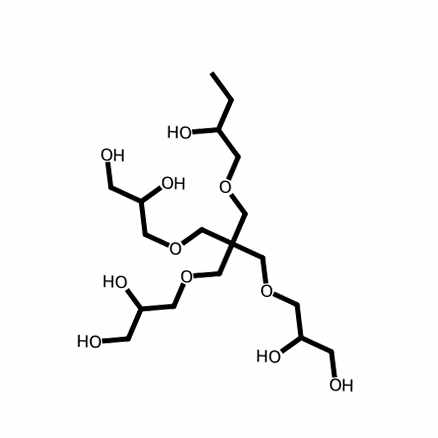 CCC(O)COCC(COCC(O)CO)(COCC(O)CO)COCC(O)CO